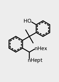 CCCCCCCC(CCCCCC)c1ccccc1C(C)(C)c1ccccc1O